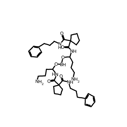 NCCCC(NC(=O)C1(C(=O)NCCCc2ccccc2)CCCC1)OBOC(CCCN)NC(=O)C1(C(=O)NCCCc2ccccc2)CCCC1